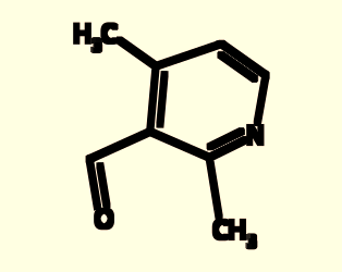 Cc1ccnc(C)c1C=O